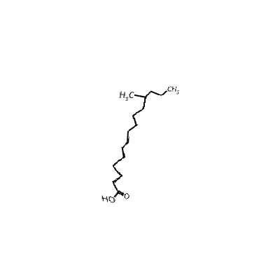 CCCC(C)CCCCCCCCCCC(=O)O